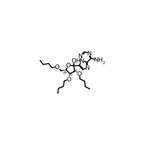 CCCCOC[C@H]1OC(O)(c2cnc3c(N)ncnn23)[C@H](OCCCC)[C@@H]1OCCCC